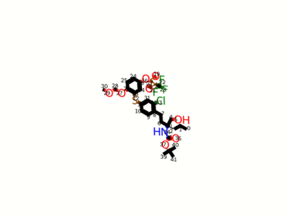 CCC[C@@](CO)(CCc1ccc(Sc2cc(OS(=O)(=O)C(F)(F)F)ccc2OCOC)cc1Cl)NC(=O)OC(C)(C)C